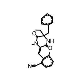 CCC1(Cc2ccccc2)NC(=O)C(=Cc2c(C)cccc2C#N)N(C)C1=O